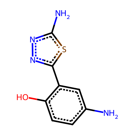 Nc1ccc(O)c(-c2nnc(N)s2)c1